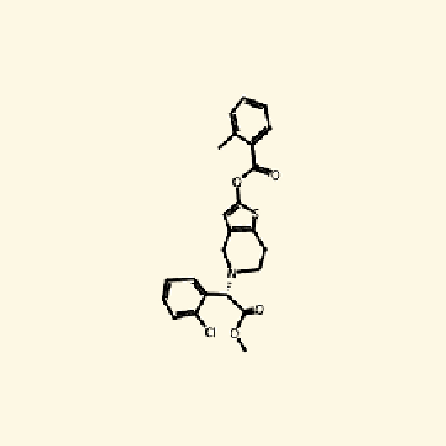 COC(=O)[C@H](c1ccccc1Cl)N1CCc2sc(OC(=O)c3ccccc3C)cc2C1